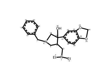 CCN(CC)CC1CN(Cc2ccccc2)CC1(O)c1ccc2c(c1)OCO2